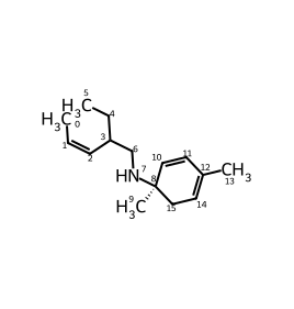 C/C=C\C(CC)CN[C@@]1(C)C=CC(C)=CC1